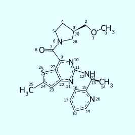 COC[C@@H]1CCN(C(=O)c2nc(N[C@@H](C)c3ccccn3)nc3cc(C)sc23)C1